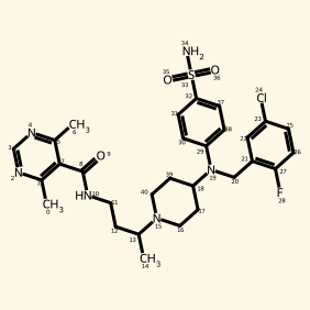 Cc1ncnc(C)c1C(=O)NCCC(C)N1CCC(N(Cc2cc(Cl)ccc2F)c2ccc(S(N)(=O)=O)cc2)CC1